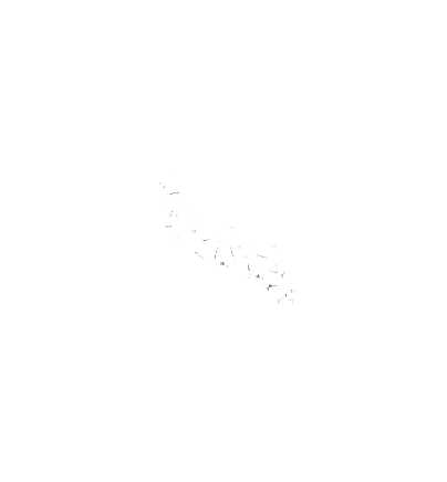 CNC(=O)CN1CCC(c2ccc3[nH]c(-c4cc(C)c5nc(C(F)(F)F)nn5c4)c(C(C)C)c3c2)CC1